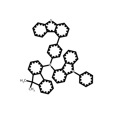 CC1(C)c2ccccc2-c2c(N(c3ccc(-c4cccc5sc6ccccc6c45)cc3)c3cccc4c3c3ccccc3n4-c3ccccc3)cccc21